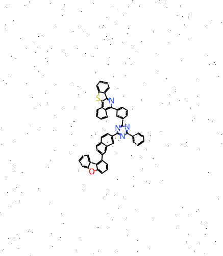 c1ccc(-c2nc(-c3cccc(-c4nc5c6ccccc6sc5c5ccccc45)c3)nc(-c3ccc4ccc(-c5cccc6oc7ccccc7c56)cc4c3)n2)cc1